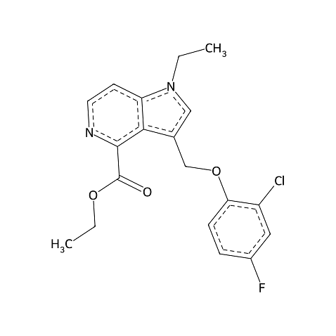 CCOC(=O)c1nccc2c1c(COc1ccc(F)cc1Cl)cn2CC